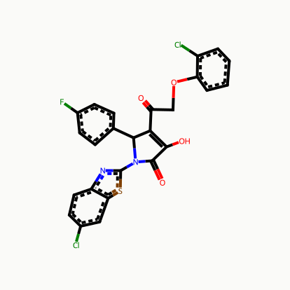 O=C(COc1ccccc1Cl)C1=C(O)C(=O)N(c2nc3ccc(Cl)cc3s2)C1c1ccc(F)cc1